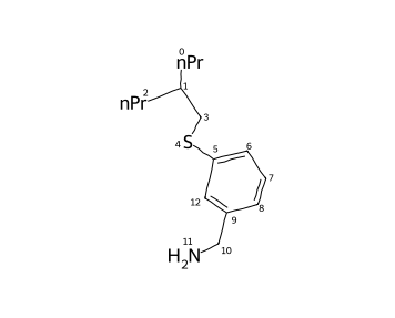 CCCC(CCC)CSc1cccc(CN)c1